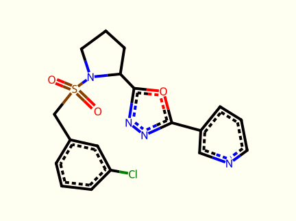 O=S(=O)(Cc1cccc(Cl)c1)N1CCCC1c1nnc(-c2cccnc2)o1